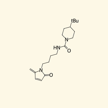 C=C1C=CC(=O)N1CCCCNC(=O)N1CCC(C(C)(C)C)CC1